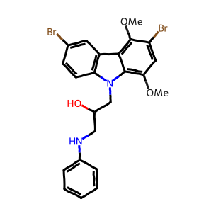 COc1c(Br)cc(OC)c2c1c1cc(Br)ccc1n2CC(O)CNc1ccccc1